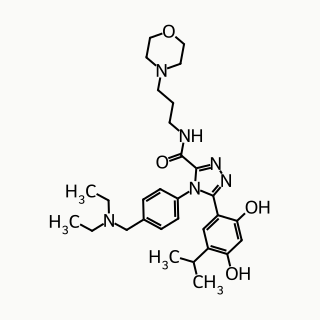 CCN(CC)Cc1ccc(-n2c(C(=O)NCCCN3CCOCC3)nnc2-c2cc(C(C)C)c(O)cc2O)cc1